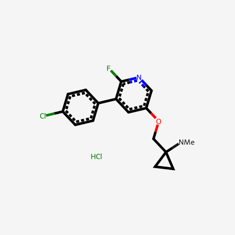 CNC1(COc2cnc(F)c(-c3ccc(Cl)cc3)c2)CC1.Cl